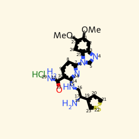 COc1cc2ncn(-c3ccc(C(N)=O)c(NC[C@H](N)c4ccsc4)n3)c2cc1OC.Cl